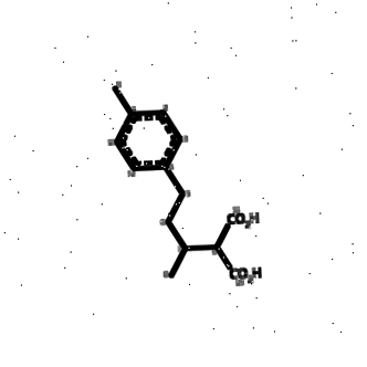 Cc1ccc(CCC(C)C(C(=O)O)C(=O)O)cc1